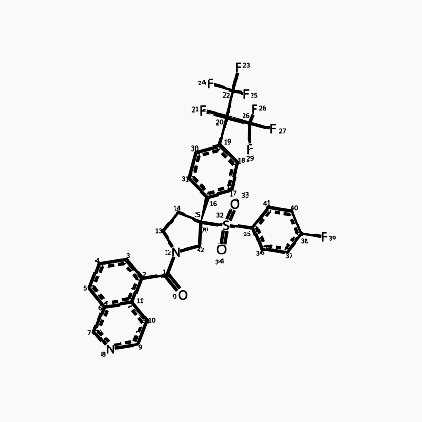 O=C(c1cccc2cnccc12)N1CC[C@](c2ccc(C(F)(C(F)(F)F)C(F)(F)F)cc2)(S(=O)(=O)c2ccc(F)cc2)C1